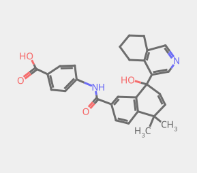 CC1(C)C=CC(O)(c2cncc3c2CCCC3)c2cc(C(=O)Nc3ccc(C(=O)O)cc3)ccc21